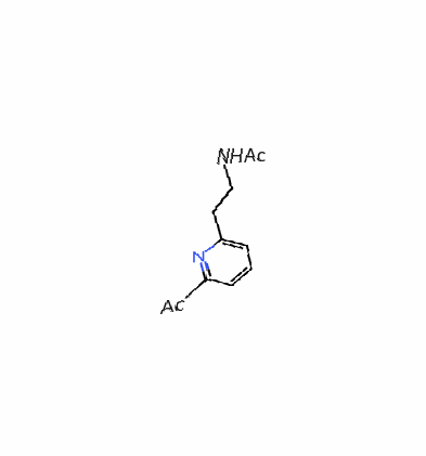 CC(=O)NCCc1cccc(C(C)=O)n1